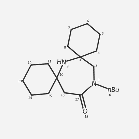 CCCCN1CC2(CCCCC2)NC2(CCCCC2)CC1=O